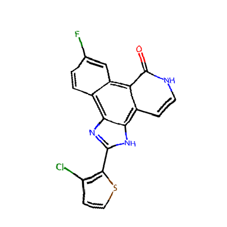 O=c1[nH]ccc2c3[nH]c(-c4sccc4Cl)nc3c3ccc(F)cc3c12